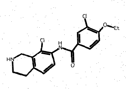 CCOc1ccc(C(=O)Nc2ccc3c(c2Cl)CNCC3)cc1Cl